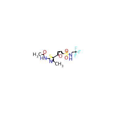 CC(=O)Nc1nc(C)c(-c2ccc(S(=O)(=O)NCC(F)(F)F)o2)s1